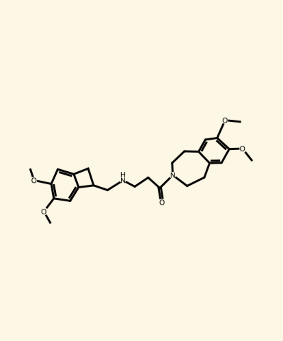 COc1cc2c(cc1OC)CCN(C(=O)CCNCC1Cc3cc(OC)c(OC)cc31)CC2